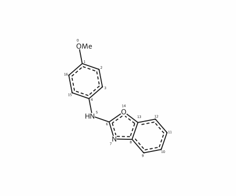 COc1ccc(Nc2nc3ccccc3o2)cc1